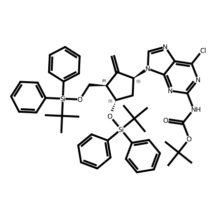 C=C1[C@H](CO[Si](c2ccccc2)(c2ccccc2)C(C)(C)C)[C@@H](O[Si](c2ccccc2)(c2ccccc2)C(C)(C)C)C[C@@H]1n1cnc2c(Cl)nc(NC(=O)OC(C)(C)C)nc21